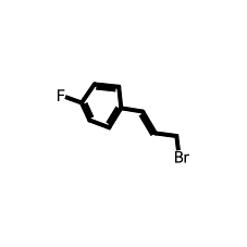 Fc1ccc(C=CCBr)cc1